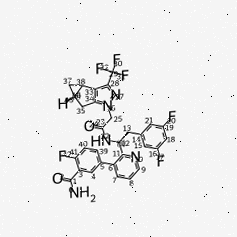 NC(=O)c1cc(-c2cccnc2[C@H](Cc2cc(F)cc(F)c2)NC(=O)Cn2nc(C(F)(F)F)c3c2C[C@@H]2CC32)ccc1F